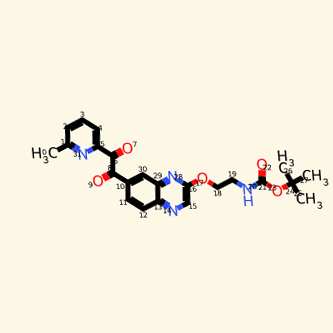 Cc1cccc(C(=O)C(=O)c2ccc3ncc(OCCNC(=O)OC(C)(C)C)nc3c2)n1